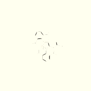 CC(C)c1cccc(C(C)C)c1N1C=C(CC(=O)O)N(c2c(C(C)C)cccc2C(C)C)N1